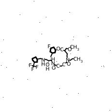 CCCN1CCC(COC)COc2cc(F)cc(c2)C[C@@H]([C@H](O)CNCc2cccc(C(F)(F)F)c2)NC(=O)CCCC1=O